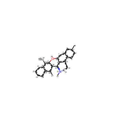 Cc1ccc2c(c1)cc1c3c([n+](C)ccc32)-c2c(c(C(C)(C)C)c3ccccc3c2C)O1